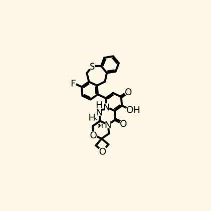 O=C1c2c(O)c(=O)cc(-c3ccc(F)c4c3Cc3ccccc3SC4)n2N[C@@H]2COC3(COC3)CN12